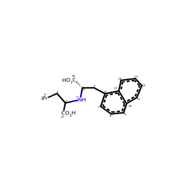 CC(C)CC(N[C@@H](Cc1cccc2ccccc12)C(=O)O)C(=O)O